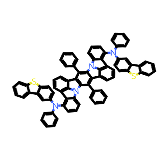 c1ccc(-c2c3c4cccc5c6c(N(c7ccccc7)c7ccc8sc9ccccc9c8c7)cccc6n(c3c(-c3ccccc3)c3c6cccc7c8c(N(c9ccccc9)c9ccc%10sc%11ccccc%11c%10c9)cccc8n(c23)c76)c54)cc1